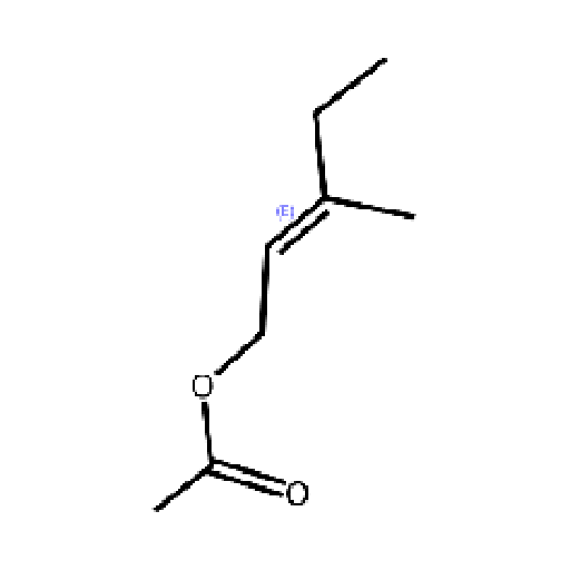 CC/C(C)=C/COC(C)=O